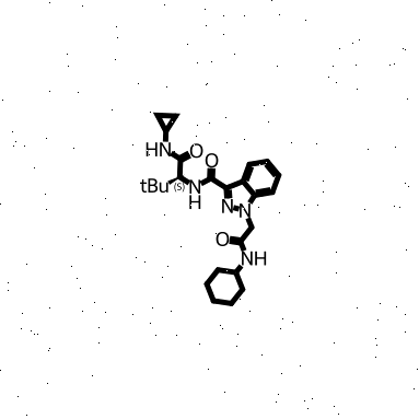 CC(C)(C)[C@H](NC(=O)c1nn(CC(=O)NC2CCCCC2)c2ccccc12)C(=O)NC1CC1